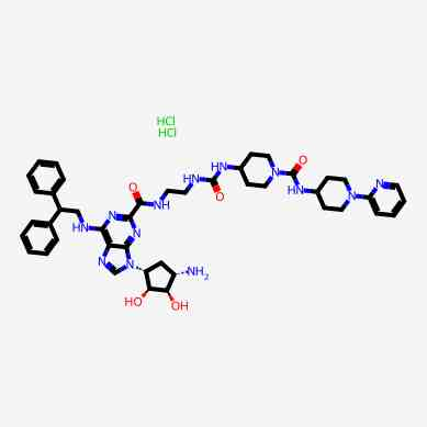 Cl.Cl.N[C@H]1C[C@@H](n2cnc3c(NCC(c4ccccc4)c4ccccc4)nc(C(=O)NCCNC(=O)NC4CCN(C(=O)NC5CCN(c6ccccn6)CC5)CC4)nc32)[C@H](O)[C@@H]1O